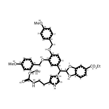 CCOC(=O)c1ccc2c(c1)OC(C(c1ccc(OCc3ccc(OC)cc3)c(OCc3ccc(OC)cc3)c1)n1cnc(CCNC(=O)OC(C)(C)C)c1)O2